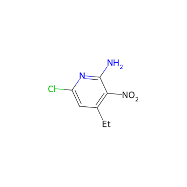 CCc1cc(Cl)nc(N)c1[N+](=O)[O-]